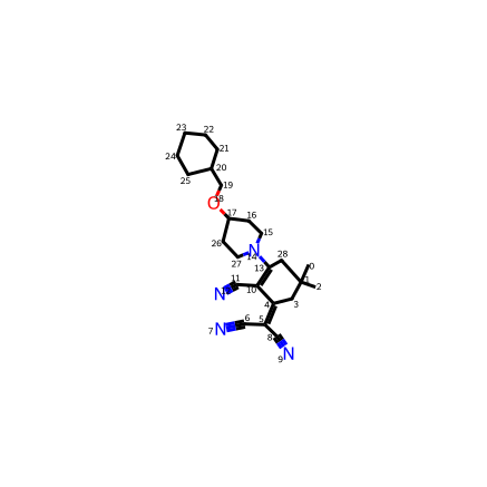 CC1(C)CC(=C(C#N)C#N)C(C#N)=C(N2CCC(OCC3CCCCC3)CC2)C1